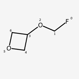 FCOC1COC1